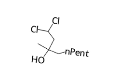 CCCCCCC(C)(O)CC(Cl)Cl